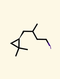 CC(CCI)C[C@@H]1CC1(C)C